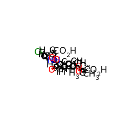 CC(C)C1=C2[C@H]3CC[C@@H]4[C@@]5(C)CC[C@H](OC(=O)CC(C)(C)C(=O)O)C(C)(C)C5CC[C@@]4(C)[C@]3(C)CCC2(C(CNCc2ccc(Cl)cc2)OC(=O)CC(C)(C)C(=O)O)CC1=O